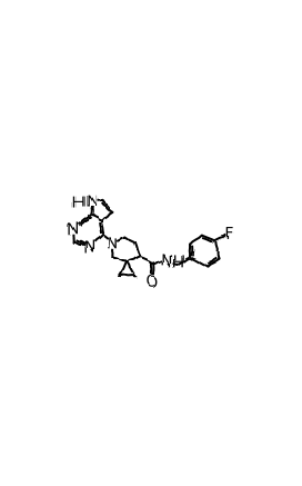 O=C(NCc1ccc(F)cc1)C1CCN(c2ncnc3[nH]ccc23)CC12CC2